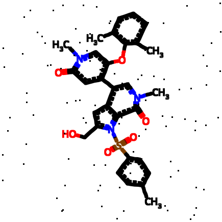 Cc1ccc(S(=O)(=O)n2c(CO)cc3c(-c4cc(=O)n(C)cc4Oc4c(C)cccc4C)cn(C)c(=O)c32)cc1